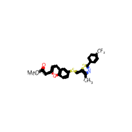 COC(=O)CC1=CCc2cc(SCc3sc(-c4ccc(C(F)(F)F)cc4)nc3C)ccc2O1